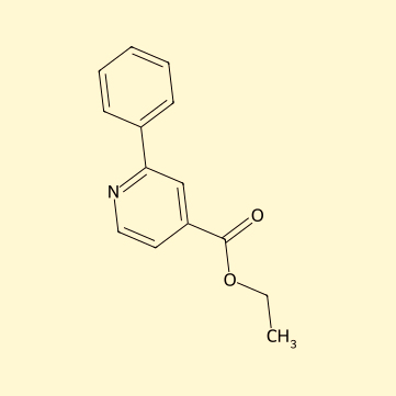 CCOC(=O)c1ccnc(-c2ccccc2)c1